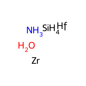 N.O.[Hf].[SiH4].[Zr]